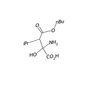 CCCCOC(=O)C(C(C)C)C(N)(O)C(=O)O